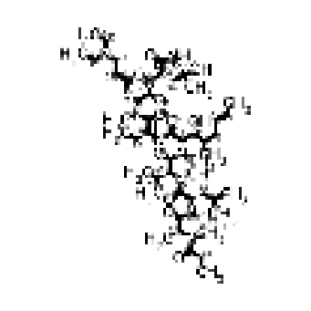 C/C=C/C[C@@H](C)[C@@H](O)[C@@H](C(=O)N[C@@H](CC)C(=O)N(C)[C@H](SCCCN(CC)CC)C(=O)N(C)[C@@H](CC(C)(C)O)C(N)=O)N(C)C(=O)[C@H](C(C)C)N(C)C(=O)[C@H](CC(C)C)N(C)C(=O)[C@@H](C)N(C)C(=O)CC